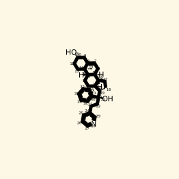 C[C@]12CC[C@H]3[C@@H](CC=C4C[C@@H](O)CC[C@@]43C)[C@@H]1CC[C@@H]2[C@](O)(CCc1cccnc1)c1ccccc1